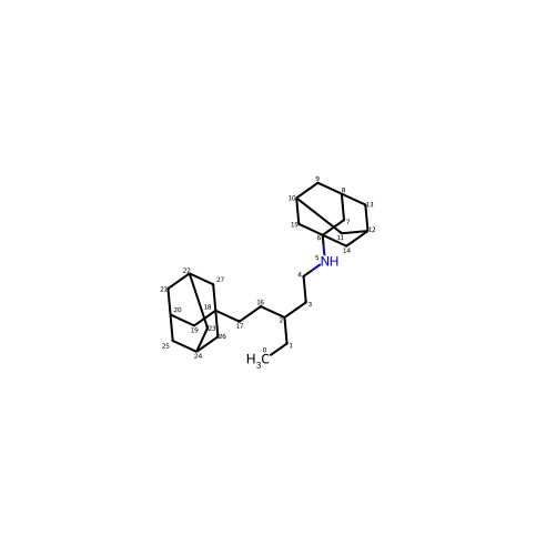 CCC(CCNC12CC3CC(CC(C3)C1)C2)CCC12CC3CC(CC(C3)C1)C2